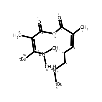 CC(=CCCNC(C)(C)C)C(=O)OC(=O)C(C)=C(N(C)C)C(C)(C)C